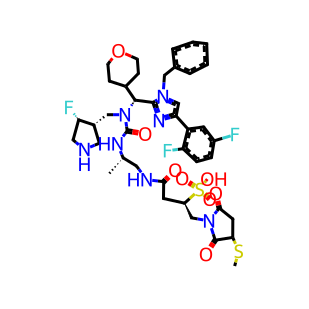 CSC1CC(=O)N(C[C@@H](CC(=O)NC[C@H](C)NC(=O)N(C[C@@H]2CNC[C@@H]2F)[C@@H](c2nc(-c3cc(F)ccc3F)cn2Cc2ccccc2)C2CCOCC2)S(=O)(=O)O)C1=O